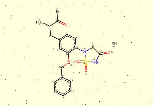 CCC(=O)C(C)Cc1ccc(N2CC(=O)NS2(=O)=O)c(OCc2ccccc2)c1.[KH]